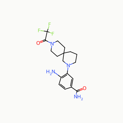 NC(=O)c1ccc(N)c(N2CCCC3(CCN(C(=O)C(F)(F)F)CC3)C2)c1